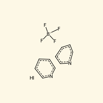 F[B-](F)(F)F.I.c1ccncc1.c1ccncc1